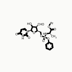 CC(C)OC(=O)[C@H](C)NP(=O)(OC[C@H]1O[C@@H](n2ccc(=O)[nH]c2=O)C(O)[C@H]1C=O)Oc1ccccc1